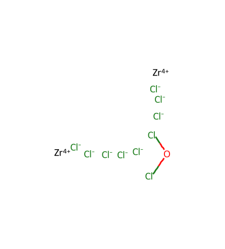 ClOCl.[Cl-].[Cl-].[Cl-].[Cl-].[Cl-].[Cl-].[Cl-].[Cl-].[Zr+4].[Zr+4]